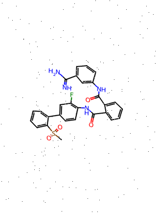 CS(=O)(=O)c1ccccc1-c1ccc(NC(=O)c2ccccc2C(=O)Nc2cccc(C(=N)N)c2)c(F)c1